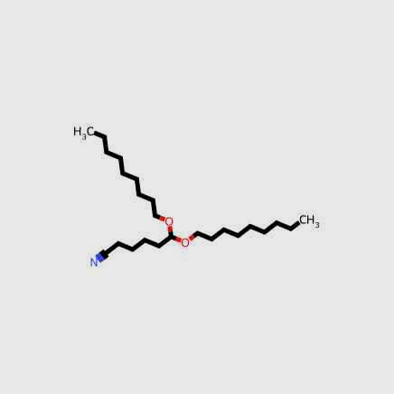 CCCCCCCCCOC(CCCCC#N)OCCCCCCCCC